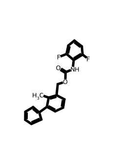 Cc1c(COC(=O)Nc2c(F)cccc2F)cccc1-c1ccccc1